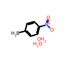 Bc1ccc([N+](=O)[O-])cc1.O.O